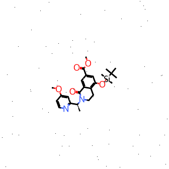 COC(=O)c1cc(O[Si](C)(C)C(C)(C)C)c2c(c1)C(=O)N([C@@H](C)c1cc(OC)ccn1)CC2